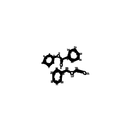 O=C(Oc1ccccc1)c1ccccc1.O=COCc1ccccc1